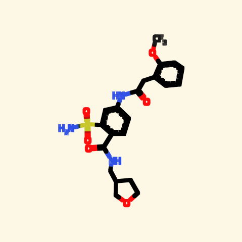 NS(=O)(=O)c1cc(NC(=O)Cc2ccccc2OC(F)(F)F)ccc1C(=O)NCC1CCOC1